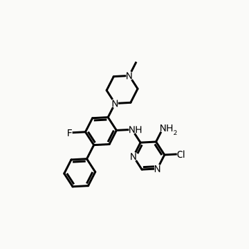 CN1CCN(c2cc(F)c(-c3ccccc3)cc2Nc2ncnc(Cl)c2N)CC1